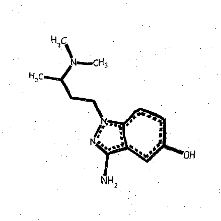 CC(CCn1nc(N)c2cc(O)ccc21)N(C)C